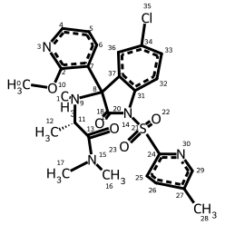 COc1ncccc1C1(N(C)[C@@H](C)C(=O)N(C)C)C(=O)N(S(=O)(=O)c2ccc(C)cn2)c2ccc(Cl)cc21